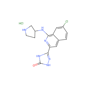 Cl.O=c1[nH]nc(-c2cc3ccc(Cl)cc3c(NC3CCNC3)n2)[nH]1